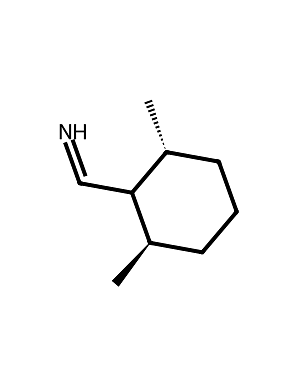 C[C@@H]1CCC[C@@H](C)C1C=N